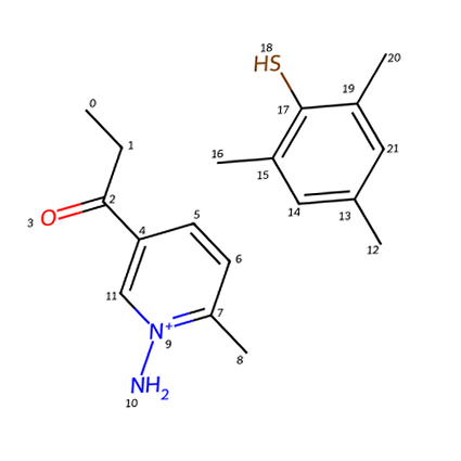 CCC(=O)c1ccc(C)[n+](N)c1.Cc1cc(C)c(S)c(C)c1